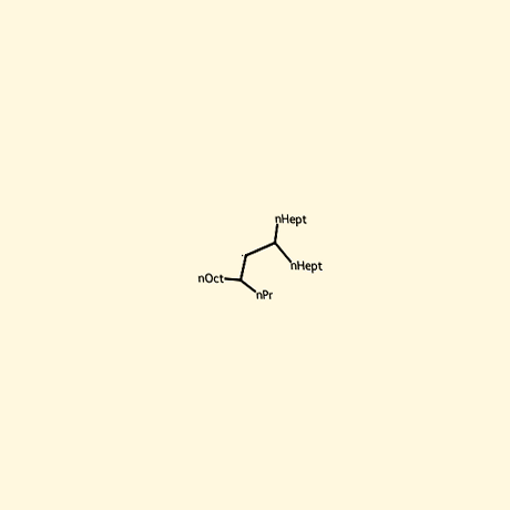 CCCCCCCCC([CH]C(CCCCCCC)CCCCCCC)CCC